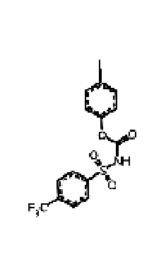 O=C(NS(=O)(=O)c1ccc(C(F)(F)F)cc1)Oc1ccc(I)cc1